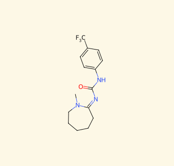 CN1CCCCC/C1=N/C(=O)Nc1ccc(C(F)(F)F)cc1